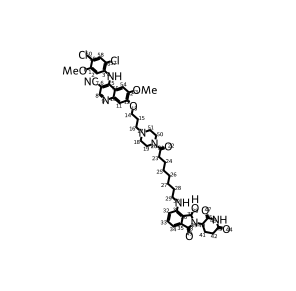 COc1cc(Nc2c(C#N)cnc3cc(OCCCN4CCN(C(=O)CCCCCCCNc5cccc6c5C(O)N(C5CCC(=O)NC5=O)C6=O)CC4)c(OC)cc23)c(Cl)cc1Cl